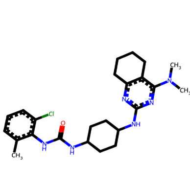 Cc1cccc(Cl)c1NC(=O)NC1CCC(Nc2nc3c(c(N(C)C)n2)CCCC3)CC1